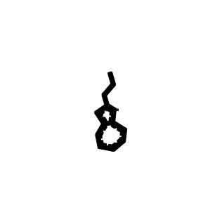 CCCc1[c]c2cccccc-2c1